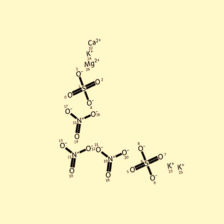 O=S(=O)([O-])[O-].O=S(=O)([O-])[O-].O=[N+]([O-])[O-].O=[N+]([O-])[O-].O=[N+]([O-])[O-].[Ca+2].[K+].[K+].[K+].[Mg+2]